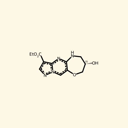 CCOC(=O)c1cnn2cc3c(nc12)NC[C@H](O)CO3